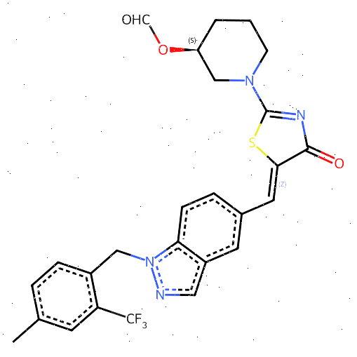 Cc1ccc(Cn2ncc3cc(/C=C4\SC(N5CCC[C@H](OC=O)C5)=NC4=O)ccc32)c(C(F)(F)F)c1